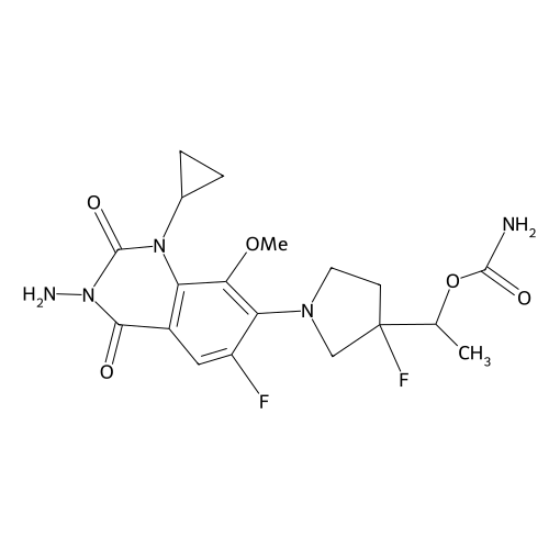 COc1c(N2CCC(F)(C(C)OC(N)=O)C2)c(F)cc2c(=O)n(N)c(=O)n(C3CC3)c12